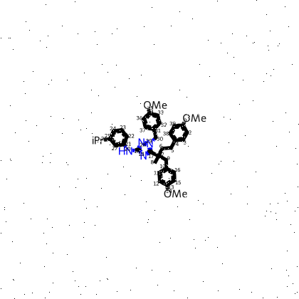 COc1ccc(CCC(C)(Cc2ccc(OC)cc2)c2nc(Nc3cccc(C(C)C)c3)nn2Cc2ccc(OC)cc2)cc1